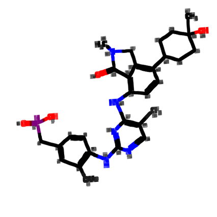 COc1cc(C[PH](=O)O)ccc1Nc1ncc(C(F)(F)F)c(Nc2ccc(C3CCC(C)(O)CC3)c3c2C(=O)N(C)C3)n1